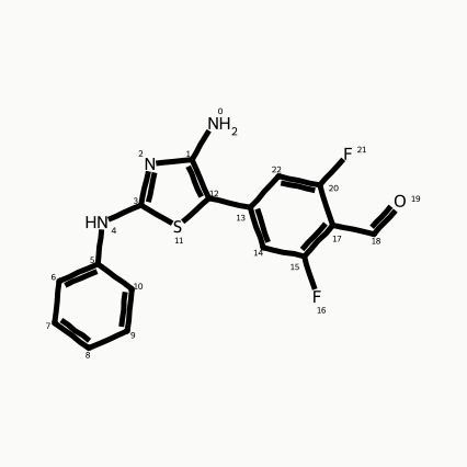 Nc1nc(Nc2ccccc2)sc1-c1cc(F)c(C=O)c(F)c1